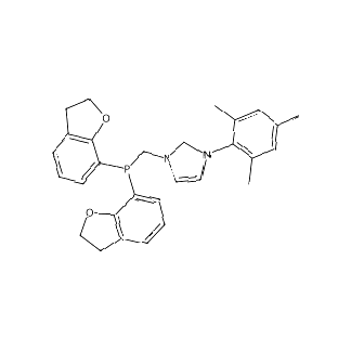 Cc1cc(C)c(N2C=CN(CP(c3cccc4c3OCC4)c3cccc4c3OCC4)C2)c(C)c1